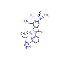 CCC(CC)n1cnnc1-c1cccc(N2Cc3c(cc(N(CC)C(C)C)nc3CN)C2=O)n1